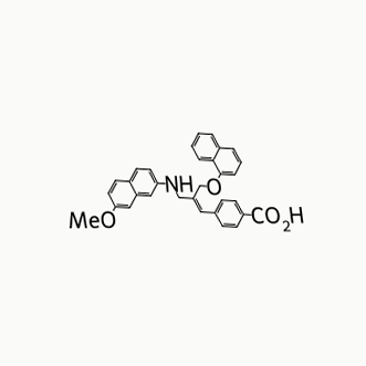 COc1ccc2ccc(NCC(=Cc3ccc(C(=O)O)cc3)COc3cccc4ccccc34)cc2c1